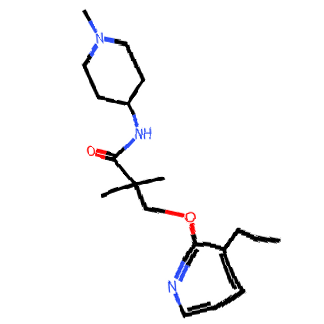 CCc1cccnc1OCC(C)(C)C(=O)NC1CCN(C)CC1